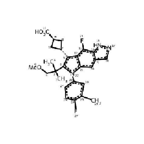 COCC(C)(C)c1c([C@H]2C[C@H](C(=O)O)C2)c2c(F)c3[nH]ncc3cc2n1-c1ccc(F)c(C)c1